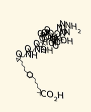 CC(C)(CCCCCc1ccc(CCCCC2(C(=O)CCNC(=O)CCNC(=O)C(O)C(C)(C)COP(=O)(O)OP(=O)(O)OCC3OC(n4cnc5c(N)ncnc54)C(O)C3OP(=O)(O)O)CC2)cc1)C(=O)O